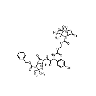 CC1(C)S[C@@H]2C(NC(=O)C(NC(=O)OCOC(=O)[C@@H]3N4C(=O)C[C@H]4S(=O)(=O)C3(C)C)c3ccc(O)cc3)C(=O)N2[C@H]1C(=O)OCc1ccccc1